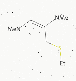 CCSC/C(=C\NC)NC